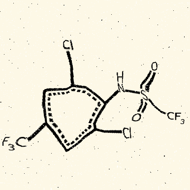 O=S(=O)(Nc1c(Cl)cc(C(F)(F)F)cc1Cl)C(F)(F)F